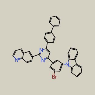 Brc1cc(-c2cc(-c3ccc(-c4ccccc4)cc3)nc(-c3ccc4ncccc4c3)n2)cc(-n2c3ccccc3c3ccccc32)c1